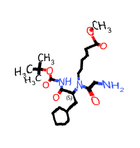 COC(=O)CCCCCN(C(=O)CN)[C@@H](CC1CCCCC1)C(=O)NC(=O)OC(C)(C)C